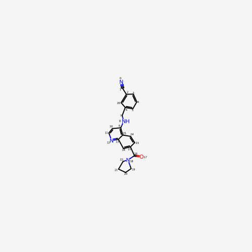 N#Cc1cccc(CNc2ccnc3cc(C(=O)N4CCCC4)ccc23)c1